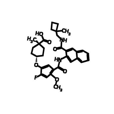 COc1cc(F)c(O[C@H]2CC[C@@](C)(C(=O)O)CC2)cc1C(=O)Nc1cc2ccccc2cc1C(=O)NCC1(C)CCC1